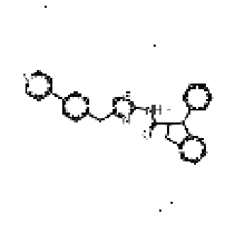 C[C@@]1(C(=O)Nc2nc(Cc3ccc(-c4ccncc4)cc3)cs2)Cc2ccccc2[C@@H]1c1ccccc1